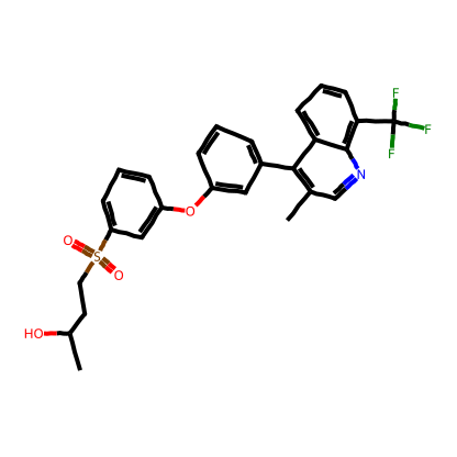 Cc1cnc2c(C(F)(F)F)cccc2c1-c1cccc(Oc2cccc(S(=O)(=O)CCC(C)O)c2)c1